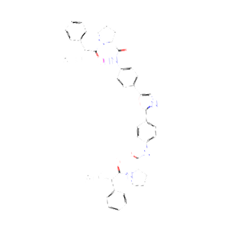 CC(=O)O[C@@H](C(=O)N1CCC[C@H]1C(=O)Nc1ccc(-c2cnc(-c3ccc(NC(=O)[C@@H]4CCCN4C(=O)[C@H](OC(C)=O)c4ccccc4)cc3)o2)cc1)c1ccccc1